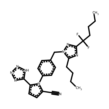 CCCCc1nc(C(F)(F)CCCC)nn1Cc1ccc(-n2c(C#N)ccc2-c2nnn[nH]2)cc1